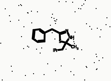 CC(C)CC1(C)NN=C(Cc2ccccc2)S1